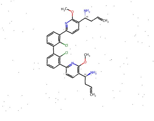 C=CC[C@@H](N)c1ccc(-c2cccc(-c3cccc(-c4ccc([C@@H](N)CC=C)c(OC)n4)c3Cl)c2Cl)nc1OC